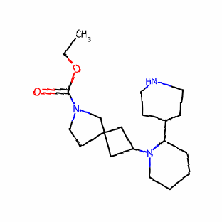 CCOC(=O)N1CCC2(CC(N3CCCCC3C3CCNCC3)C2)C1